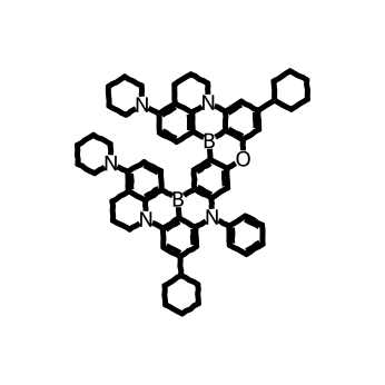 c1ccc(N2c3cc4c(cc3B3c5ccc(N6CCCCC6)c6c5N(CCC6)c5cc(C6CCCCC6)cc2c53)B2c3ccc(N5CCCCC5)c5c3N(CCC5)c3cc(C5CCCCC5)cc(c32)O4)cc1